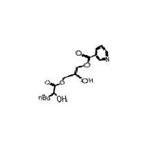 CCCCC(O)C(=O)OCC(O)COC(=O)c1cccnc1